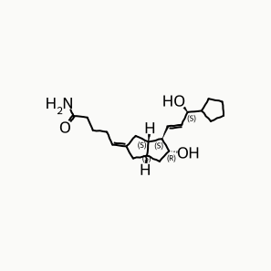 NC(=O)CCCC=C1C[C@H]2C[C@@H](O)[C@H](C=C[C@@H](O)C3CCCC3)[C@H]2C1